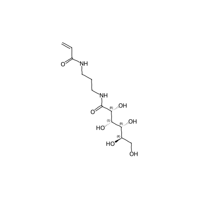 C=CC(=O)NCCCNC(=O)[C@H](O)[C@@H](O)[C@H](O)[C@H](O)CO